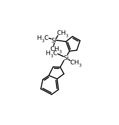 C[Si](C)(C)C1=C([Si](C)(C)C2=Cc3ccccc3C2)CC=C1